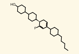 CCCCCC1CCC(C2=CC[C@H](C3CCC(C4CCC(O)CC4)CC3)C(F)=C2)CC1